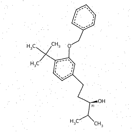 CC(C)[C@H](O)CCc1ccc(C(C)(C)C)c(OCc2ccccc2)c1